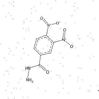 NNC(=O)c1ccc([N+](=O)[O-])c([N+](=O)[O-])c1